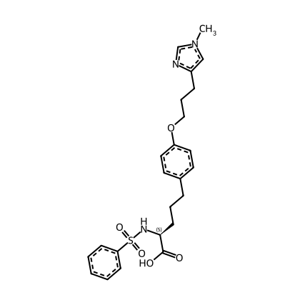 Cn1cnc(CCCOc2ccc(CCC[C@H](NS(=O)(=O)c3ccccc3)C(=O)O)cc2)c1